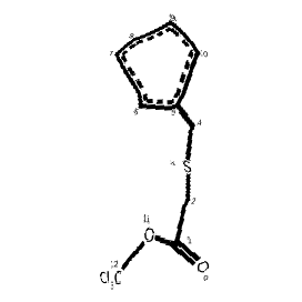 O=C(CSCc1ccccc1)OC(Cl)(Cl)Cl